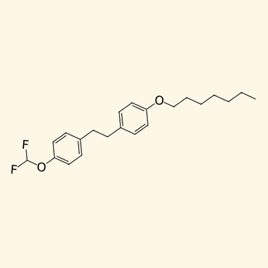 CCCCCCCOc1ccc(CCc2ccc(OC(F)F)cc2)cc1